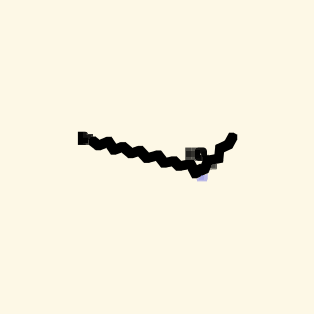 CCCC[C@H](O)/C=C\CCCCCCCCCCCCBr